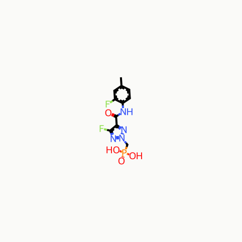 Cc1ccc(NC(=O)c2nn(CP(=O)(O)O)nc2F)c(F)c1